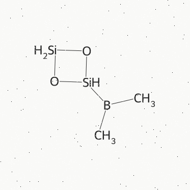 CB(C)[SiH]1O[SiH2]O1